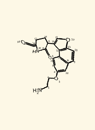 NCCOc1ccc2c(ccc3occ(C4CCC(=O)NC4=O)c32)c1